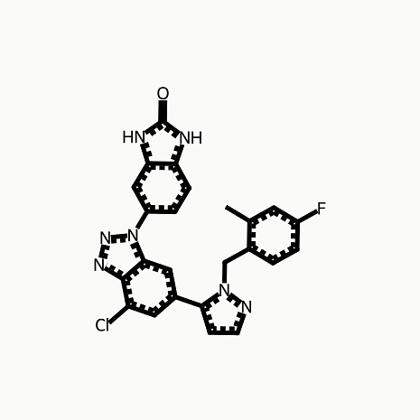 Cc1cc(F)ccc1Cn1nccc1-c1cc(Cl)c2nnn(-c3ccc4[nH]c(=O)[nH]c4c3)c2c1